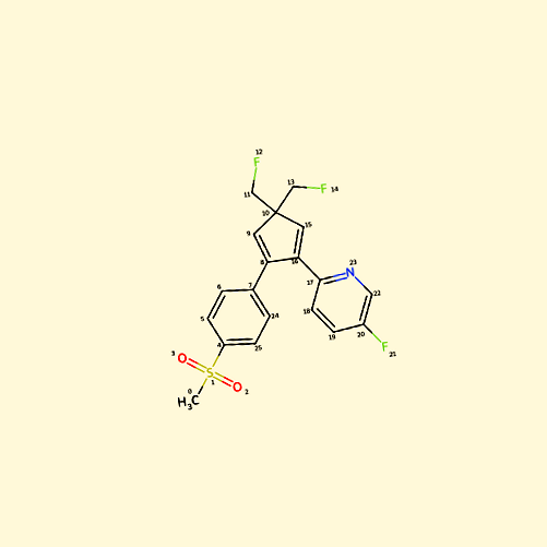 CS(=O)(=O)c1ccc(C2=CC(CF)(CF)C=C2c2ccc(F)cn2)cc1